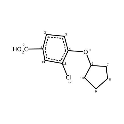 O=C(O)c1ccc(OC2CCCC2)c(Cl)c1